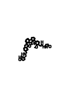 COc1nc(-c2cccc(-c3cccc(N4Cc5ccc(CNC[C@H]6CCC(=O)N6)cc5C4=O)c3Cl)c2Cl)ccc1CNC[C@@H]1CCC(=O)N1